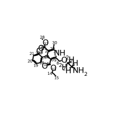 [2H]C([2H])(N)C([2H])([2H])OCC1=C(C(=O)OCC)[C@@H](c2ccccc2Cl)C(C(=O)OC)=C(C)N1